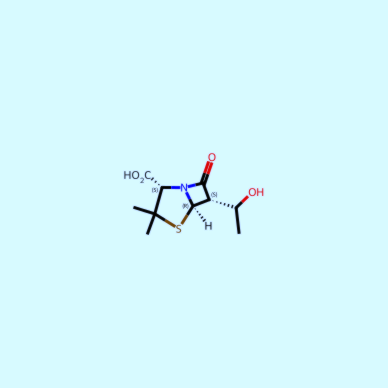 CC(O)[C@H]1C(=O)N2[C@@H]1SC(C)(C)[C@@H]2C(=O)O